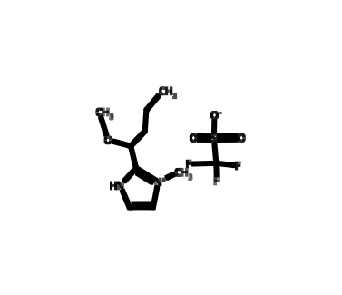 CCCC(OC)c1[nH]cc[n+]1C.O=S(=O)([O-])C(F)(F)F